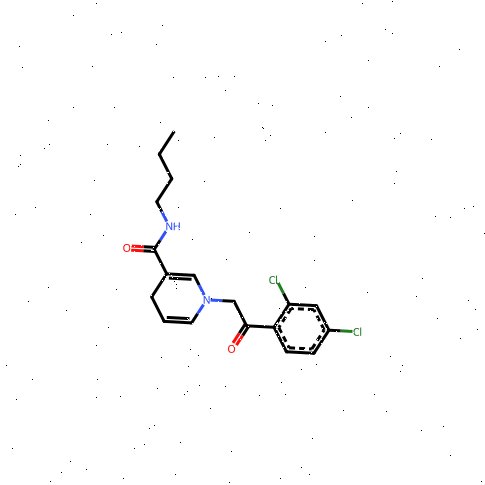 CCCCNC(=O)C1=CN(CC(=O)c2ccc(Cl)cc2Cl)C=CC1